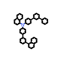 c1ccc(-c2cccc(-c3ccc(N(c4ccc(-c5cccc(-c6cccc7ccccc67)c5)cc4)c4cccc5ccccc45)cc3)c2)cc1